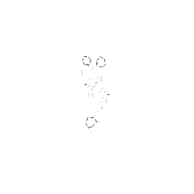 CC(C)(C)[Si](OC1CC(=O)NC2CN(C(=O)N3CC(OCc4ccc(C(F)(F)F)cc4F)C3)CC[C@@H]21)(c1ccccc1)c1ccccc1